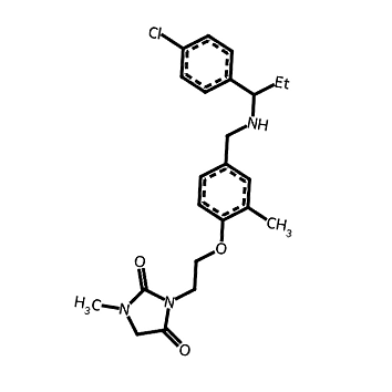 CCC(NCc1ccc(OCCN2C(=O)CN(C)C2=O)c(C)c1)c1ccc(Cl)cc1